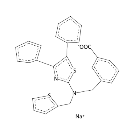 O=C([O-])c1cccc(CN(Cc2cccs2)c2nc(-c3ccccc3)c(-c3ccccc3)s2)c1.[Na+]